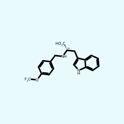 O=C(O)[C@H](Cc1c[nH]c2ccccc12)NCc1ccc(OC(F)(F)F)cc1